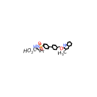 Cc1cc2ccccc2nc1OCc1ccc(-c2ccc(S(=O)(=O)N[C@@H](C(=O)O)C(C)C)cc2)cc1